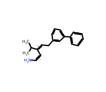 CC(C)C(/C=C\N)=C/Cc1cccc(-c2ccccc2)c1